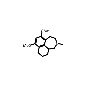 COc1cc(OC)c2c3c1CCCC3CN(C)CC2